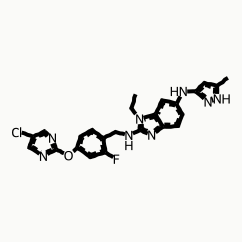 CCn1c(NCc2ccc(Oc3ncc(Cl)cn3)cc2F)nc2ccc(Nc3cc(C)[nH]n3)cc21